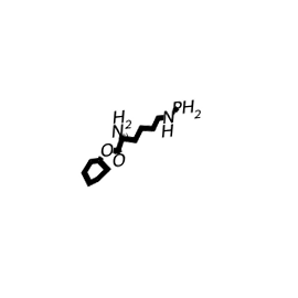 N[C@@H](CCCCNP)C(=O)OC1CCCCC1